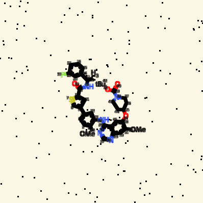 COc1ccc(-c2csc(C(=O)NC(C)c3cccc(F)c3)c2)cc1Nc1ncnc2cc(OC)c(OC3CCN(C(=O)OC(C)(C)C)CC3)cc12